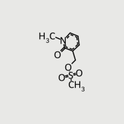 Cn1cccc(COS(C)(=O)=O)c1=O